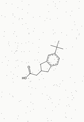 CC(C)(C)c1ccc2c(c1)CC(CC(=O)O)C2